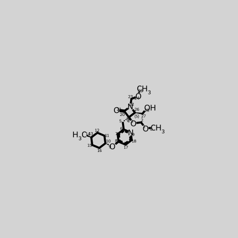 COCO[C@@]1(Cc2cc(O[C@H]3CC[C@H](C)CC3)ccn2)C(=O)N(COC)[C@H]1CO